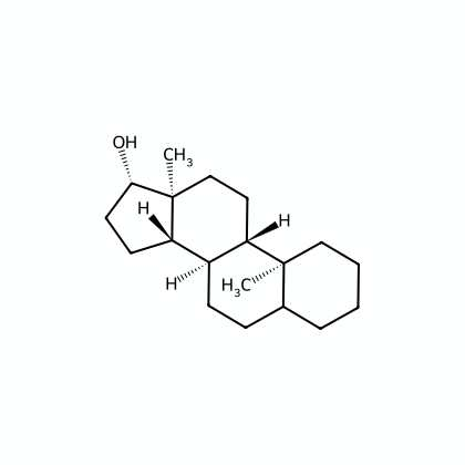 C[C@]12CC[C@H]3[C@@H](CCC4CCCC[C@@]43C)[C@@H]1CC[C@@H]2O